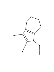 CCC1C(C)=C(C)C2=C1CCC[C]2